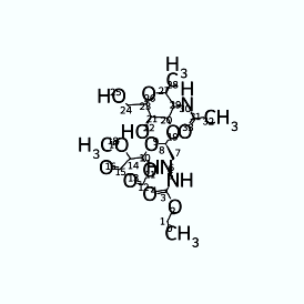 CCOC(=O)NNC[C@@H](OC(OC=O)C(C=O)OC)OC1[C@@H](O)C(CO)O[C@@H](C)[C@H]1NC(C)=O